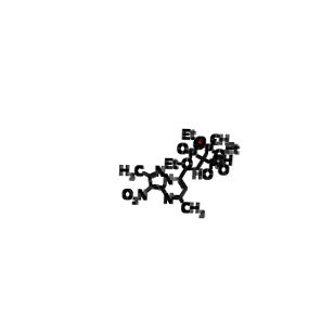 CCOP(C)(=O)C(CCc1cc(C)nc2c([N+](=O)[O-])c(C)nn12)(P(=O)(O)O)P(=O)(OCC)OCC